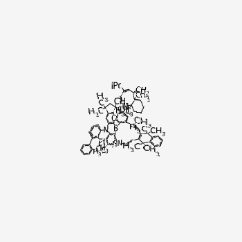 C=C1/C=C(C(C)C)\C=C/N(c2ccc3c(c2)/C(C)=C\C2=C(/C=C/Nc4cc(C)cc5c4B3c3cc4c(cc3N5c3cccc(-c5ccccc5C)c3CC)C(C)(C)CC4(C)C)C(C)(C)c3ccccc3C2(C)C)C2(C)CCCCC12C